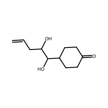 C=CCC(O)C(O)C1CCC(=O)CC1